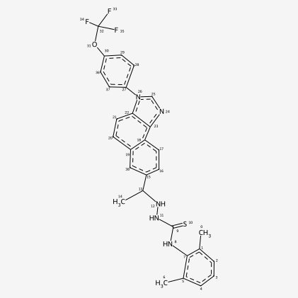 Cc1cccc(C)c1NC(=S)NNC(C)c1ccc2c(ccc3c2ncn3-c2ccc(OC(F)(F)F)cc2)c1